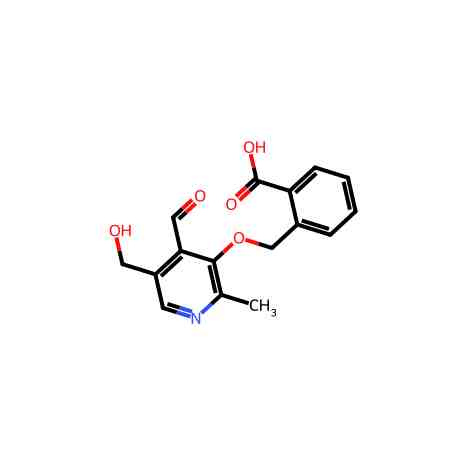 Cc1ncc(CO)c(C=O)c1OCc1ccccc1C(=O)O